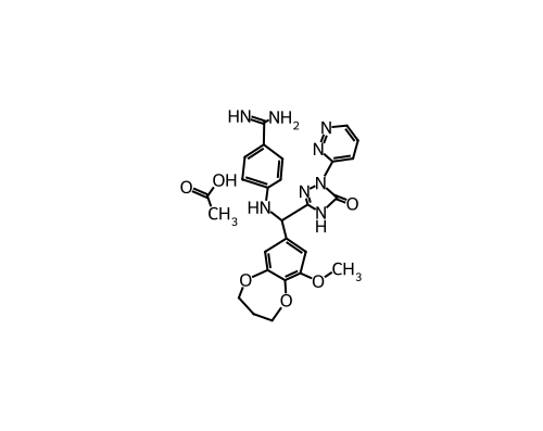 CC(=O)O.COc1cc(C(Nc2ccc(C(=N)N)cc2)c2nn(-c3cccnn3)c(=O)[nH]2)cc2c1OCCCO2